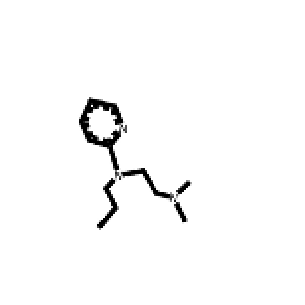 CCCN(CCN(C)C)c1ccccn1